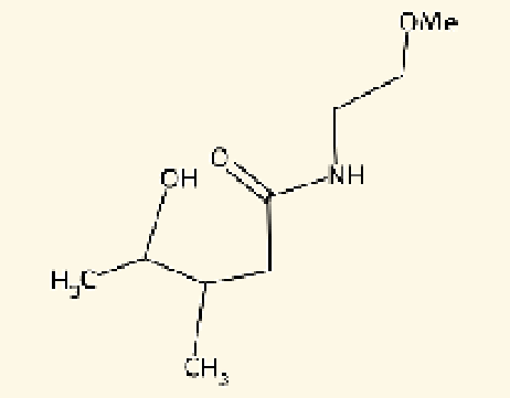 COCCNC(=O)CC(C)C(C)O